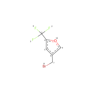 FC(F)(F)c1cc(CBr)co1